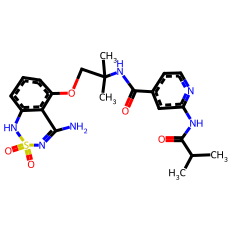 CC(C)C(=O)Nc1cc(C(=O)NC(C)(C)COc2cccc3c2C(N)=NS(=O)(=O)N3)ccn1